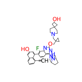 C#Cc1cccc2cc(O)cc(-c3ccc4c(N5CC6CCC(C5)N6)nc(OCC5(CN6CCC7(CC6)CC(O)C7)CC5)nc4c3F)c12